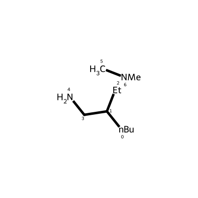 CCCCC(CC)CN.CNC